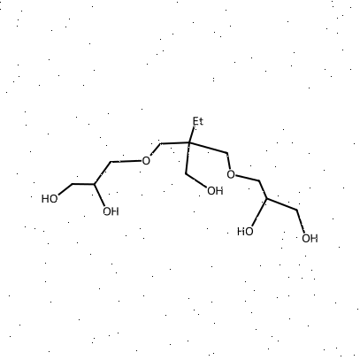 CCC(CO)(COCC(O)CO)COCC(O)CO